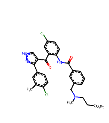 CCOC(=O)CCN(C)Cc1cccc(C(=O)Nc2ccc(Cl)cc2C(=O)c2c[nH]nc2-c2ccc(Cl)c(C(F)(F)F)c2)c1